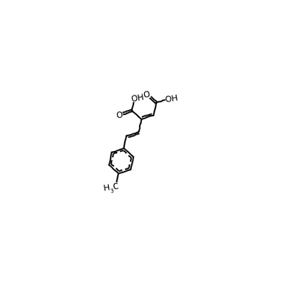 Cc1ccc(C=CC(=CC(=O)O)C(=O)O)cc1